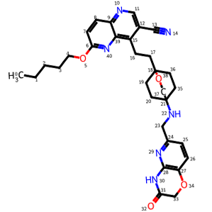 CCCCCOc1ccc2ncc(C#N)c(CCC34CCC(NCc5ccc6c(n5)NC(=O)CO6)(CC3)CO4)c2n1